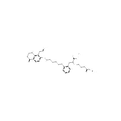 C=CCc1c(OCCCCCCc2ccccc2CC(OCCCC(=O)OC)C(=O)OC)ccc2c1CCCC2=O